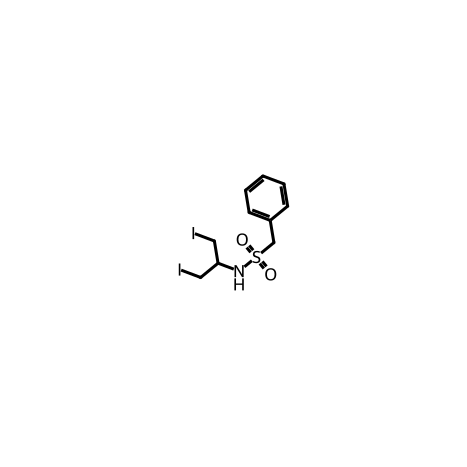 O=S(=O)(Cc1ccccc1)NC(CI)CI